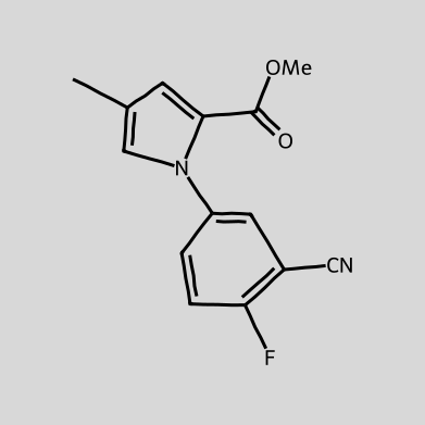 COC(=O)c1cc(C)cn1-c1ccc(F)c(C#N)c1